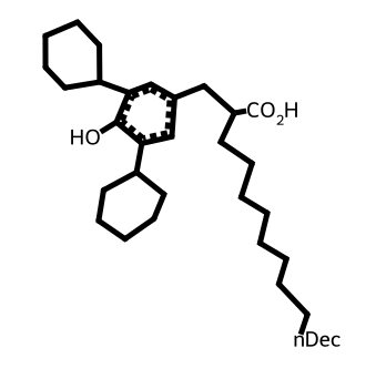 CCCCCCCCCCCCCCCCCCC(Cc1cc(C2CCCCC2)c(O)c(C2CCCCC2)c1)C(=O)O